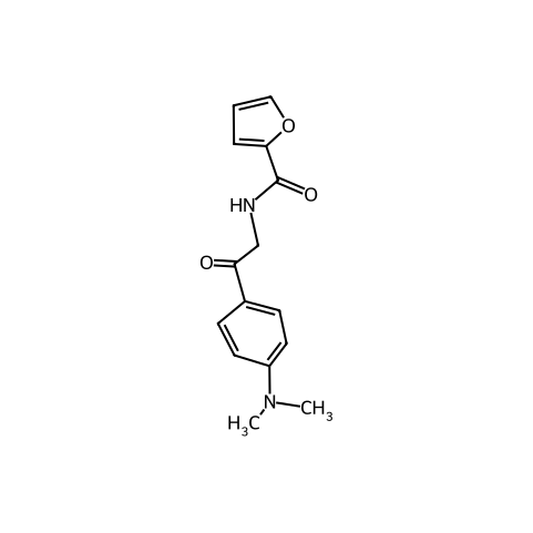 CN(C)c1ccc(C(=O)CNC(=O)c2ccco2)cc1